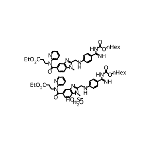 CCCCCCOC(=O)NC(=N)c1ccc(NCc2nc3cc(C(=O)N(CCC(=O)OCC)c4ccccn4)ccc3n2C)cc1.CCCCCCOC(=O)NC(=N)c1ccc(NCc2nc3cc(C(=O)N(CCC(=O)OCC)c4ccccn4)ccc3n2C)cc1.CS(=O)(=O)O.O